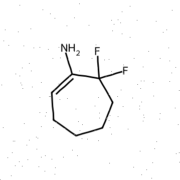 NC1=CCCCCC1(F)F